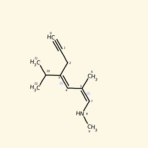 C#CC/C(=C\C(C)=C/NC)C(C)C